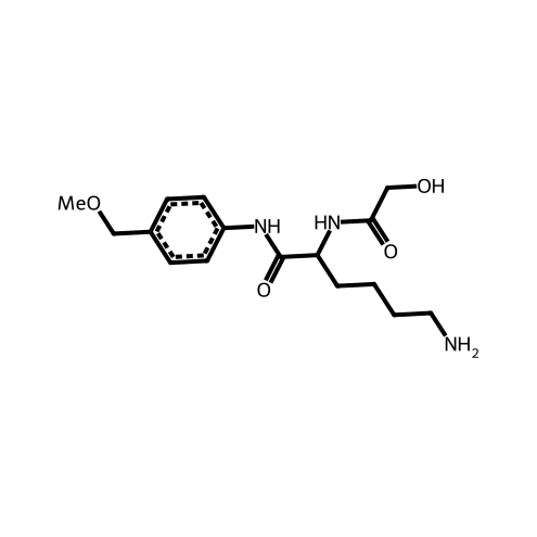 COCc1ccc(NC(=O)C(CCCCN)NC(=O)CO)cc1